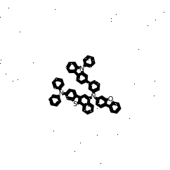 c1ccc(N(c2ccccc2)c2ccc3c(c2)sc2c4ccccc4c(N(c4cccc(-c5ccc6c7ccccc7n(-c7ccccc7)c6c5)c4)c4ccc5c(c4)oc4ccccc45)cc32)cc1